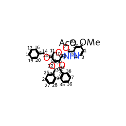 COc1ccnc(C(=O)N[C@@H]2OC[C@@H](OCc3ccccc3)[C@H](OCc3ccccc3)[C@H]2OCc2ccccc2)c1OC(C)=O